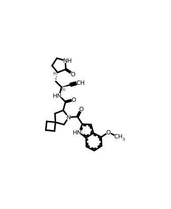 C#C[C@H](C[C@@H]1CCNC1=O)NC(=O)C1CC2(CCC2)CN1C(=O)c1cc2c(OC)cccc2[nH]1